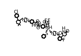 CC1(C)CCC(c2ccc(Cl)cc2)=C(CN2CCN(c3ccc(C(=O)NS(=O)(=O)c4ccc(N[C@H](CCN5CCN(Cc6cccc(F)c6C6CCC(=O)NC6=O)CC5)CSc5ccccc5)c(S(=O)(=O)C(F)(F)F)c4)cc3)CC2)C1